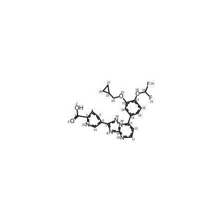 O=C(O)c1ccc(-c2nc3nccc(-c4ccc(OC(F)F)c(OCC5CC5)c4)n3n2)cn1